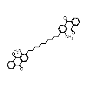 Nc1c(CCCCCCCCCCc2ccc3c(c2N)C(=O)c2ccccc2C3=O)ccc2c1C(=O)c1ccccc1C2=O